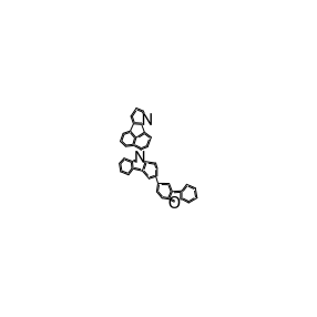 c1cnc2c(c1)-c1cccc3c(-n4c5ccccc5c5cc(-c6ccc7oc8ccccc8c7c6)ccc54)ccc-2c13